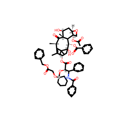 CC(=O)O[C@@]12CO[C@@H]1C[C@H](O)[C@@]1(C)C(=O)[C@H](C)C3=C(C)[C@@H](OC(=O)[C@H](O[Si]4(OCC(=O)OCc5ccccc5)CCCCC4)C(NC(=O)c4ccccc4)c4ccccc4)C[C@@](O)([C@@H](OC(=O)c4ccccc4)C12)C3(C)C